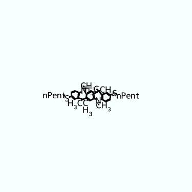 CCCCCSc1ccc2c(c1)C(C)(C)c1cc3c(cc1N2C)C(C)(C)c1cc(SCCCCC)ccc1N3C